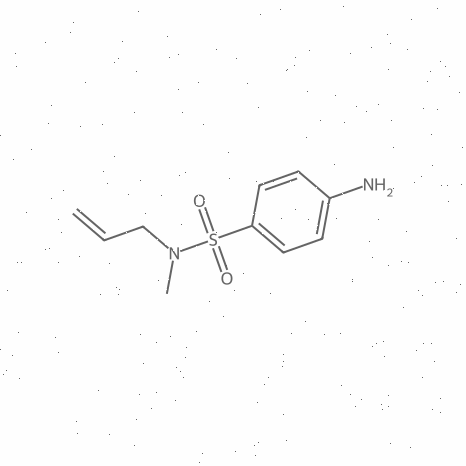 C=CCN(C)S(=O)(=O)c1ccc(N)cc1